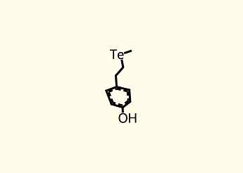 C[Te]CCc1ccc(O)cc1